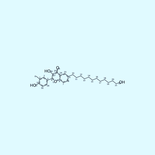 Cc1cc(-c2oc3ccc(CCCCCCCCCCCCO)cc3c(=O)c2O)ccc1O